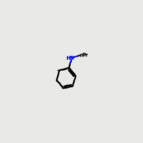 CCCNC1=CC=CC[CH]1